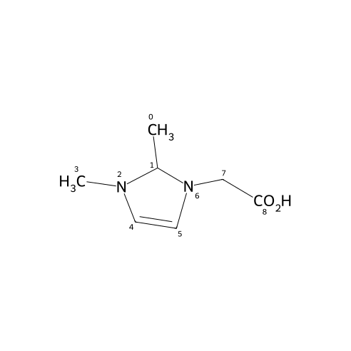 CC1N(C)C=CN1CC(=O)O